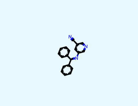 N#Cc1cncc(N=C(c2ccccc2)c2ccccc2)c1